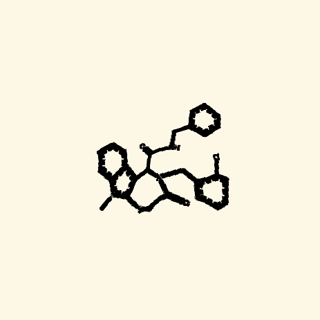 Cn1c2c(c3ccccc31)C(C(=O)NCc1ccccc1)N(Cc1ccccc1Cl)C(=O)CS2